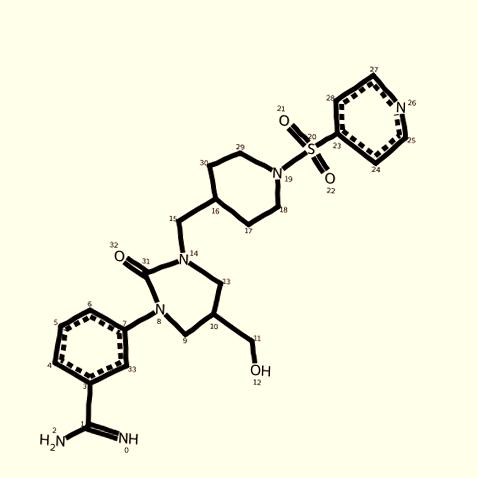 N=C(N)c1cccc(N2CC(CO)CN(CC3CCN(S(=O)(=O)c4ccncc4)CC3)C2=O)c1